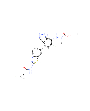 CN(Nc1c(F)c(Cl)c(-c2ccc3nc(NC(=O)[C@@H]4C[C@@H]4F)sc3c2)c2cn[nH]c12)C(=O)OC(C)(C)C